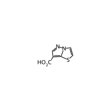 O=C(O)c1cnn2ccsc12